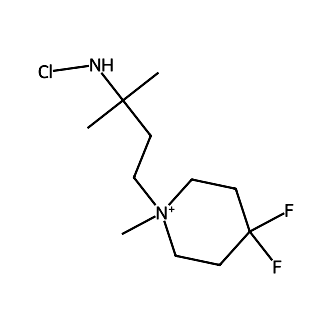 CC(C)(CC[N+]1(C)CCC(F)(F)CC1)NCl